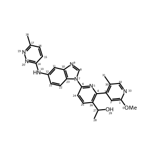 COc1cc(-c2nc(-n3cnc4cc(Nc5ccc(C)nn5)ccc43)ccc2C(C)O)c(C)cn1